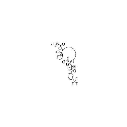 NC(=O)OC1CCCCCC=CC2CC2(C(=O)NS(=O)(=O)c2cccc(C(F)(F)F)c2)NC(=O)C2CCCN2C1=O